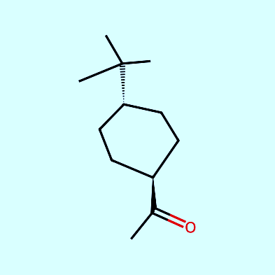 CC(=O)[C@H]1CC[C@H](C(C)(C)C)CC1